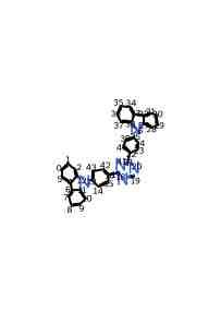 c1ccc2c(c1)c1ccccc1n2-c1ccc(-c2ncnc(-c3ccc(-n4c5ccccc5c5ccccc54)cc3)n2)cc1